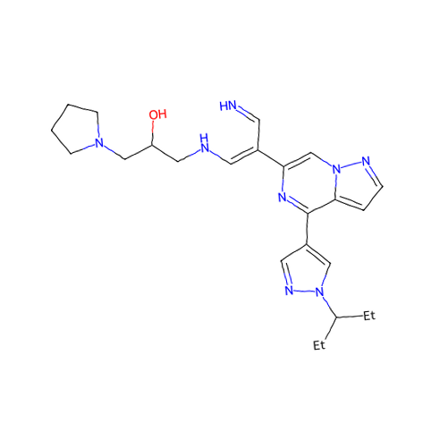 CCC(CC)n1cc(-c2nc(/C(C=N)=C/NCC(O)CN3CCCC3)cn3nccc23)cn1